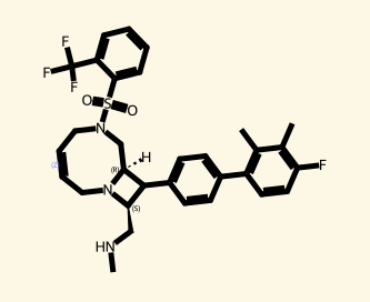 CNC[C@@H]1C(c2ccc(-c3ccc(F)c(C)c3C)cc2)[C@@H]2CN(S(=O)(=O)c3ccccc3C(F)(F)F)C/C=C\CN12